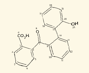 O=C(O)c1ccccc1C(=O)c1ccccc1-c1ccccc1O